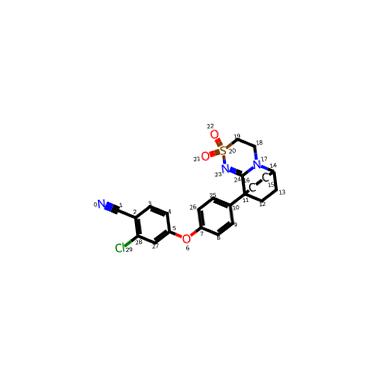 N#Cc1ccc(Oc2ccc(C34CCC(CC3)N3CCS(=O)(=O)N=C34)cc2)cc1Cl